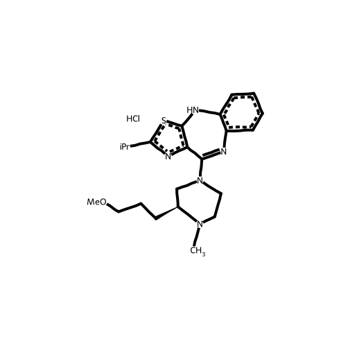 COCCC[C@H]1CN(C2=Nc3ccccc3Nc3sc(C(C)C)nc32)CCN1C.Cl